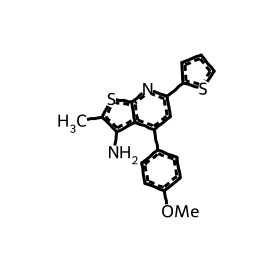 COc1ccc(-c2cc(-c3cccs3)nc3sc(C)c(N)c23)cc1